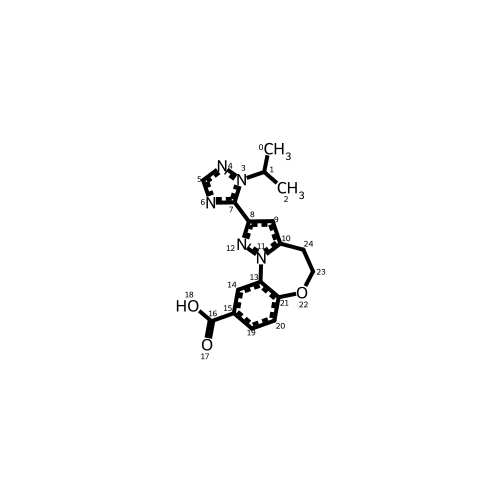 CC(C)n1ncnc1-c1cc2n(n1)-c1cc(C(=O)O)ccc1OCC2